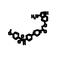 COc1ccc(S(=O)(=O)Nc2ccc(N3CCN(C(=O)COc4ccc5[nH]cc(N)c5c4)CC3)cc2)cc1